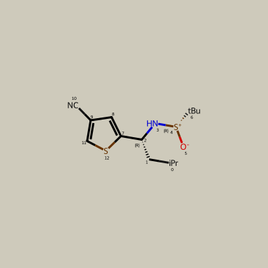 CC(C)C[C@@H](N[S@@+]([O-])C(C)(C)C)c1cc(C#N)cs1